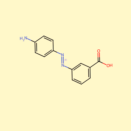 Nc1ccc(/N=N/c2cccc(C(=O)O)c2)cc1